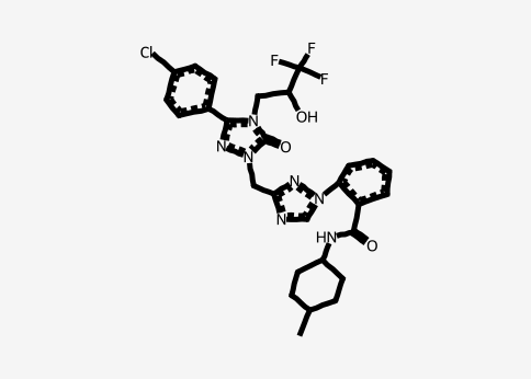 CC1CCC(NC(=O)c2ccccc2-n2cnc(Cn3nc(-c4ccc(Cl)cc4)n(CC(O)C(F)(F)F)c3=O)n2)CC1